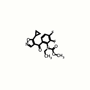 CCN(C(=O)OC)c1c(C(=O)c2cnoc2C2CC2)ccc(F)c1F